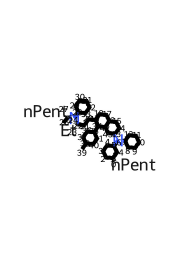 CCCCCC1CCCC(N(C2CCCCC2)C2CCC3CCC(CCC(CC)N(C(C)CCCCC)C4CC=CCC4)C(C4CCC(C)CC4)C3C2)C1